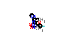 CCCc1nc2ccccn2c1Cc1ccc2c(c1)COc1cc(F)ccc1/C2=C(\C)c1noc(=O)[nH]1